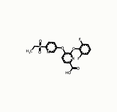 CCS(=O)(=O)c1ccc(Oc2ccc(C(=O)O)nc2Oc2c(F)cccc2F)cn1